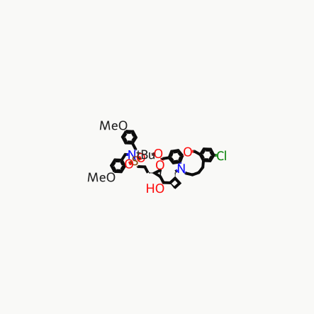 COc1ccc(CN(Cc2ccc(OC)cc2)S(=O)(=O)CCC[C@@H]2C[C@H]2[C@H](O)[C@@H]2CC[C@H]2CN2CCCCc3cc(Cl)ccc3COc3ccc(C(=O)OC(C)(C)C)cc32)cc1